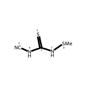 CSNC(=S)NC#N